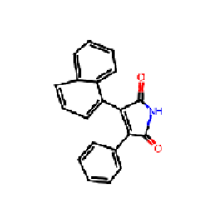 O=C1NC(=O)C(c2cccc3ccccc23)=C1c1ccccc1